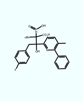 CCCCC(C(=O)O)([PH](=O)O)C(O)(Cc1ccc(F)cc1)c1ccc(C)c(-c2ccccc2)n1